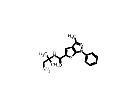 Cc1nn(-c2ccccc2)c2sc(C(=O)NC(C)(C)CN)cc12